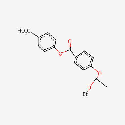 CCOC(C)Oc1ccc(C(=O)Oc2ccc(C(=O)O)cc2)cc1